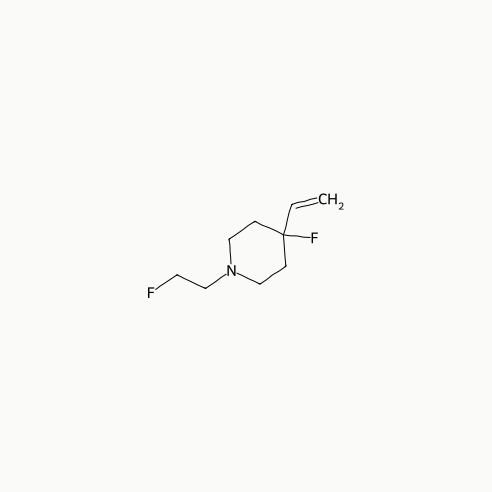 C=CC1(F)CCN(CCF)CC1